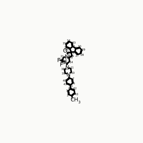 Cc1ccc(-c2ccc(N3CCN(CCCCC4(C(=O)NCC(F)(F)F)c5ccccc5-c5ccccc54)CC3)cc2)cc1